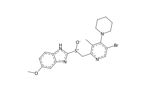 COc1ccc2[nH]c([S+]([O-])Cc3ncc(Br)c(N4CCCCC4)c3C)nc2c1